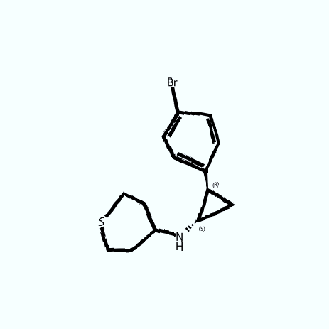 Brc1ccc([C@H]2C[C@@H]2NC2CCSCC2)cc1